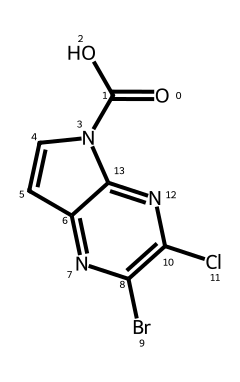 O=C(O)n1ccc2nc(Br)c(Cl)nc21